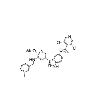 COc1ncc(-c2n[nH]c3ccc(O[C@H](C)c4c(Cl)cncc4Cl)cc23)cc1NCc1ccnc(C)c1